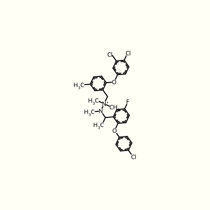 Cc1ccc(Oc2ccc(Cl)c(Cl)c2)c(C[N+](C)(C)N(C)C(C)c2cc(F)ccc2Oc2ccc(Cl)cc2)c1